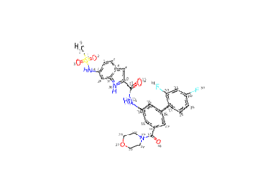 CS(=O)(=O)Nc1ccc2cc(C(=O)Nc3cc(C(=O)N4CCOCC4)cc(-c4ccc(F)cc4F)c3)[nH]c2c1